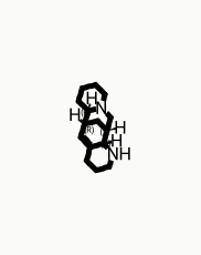 C1=C2CCCN[C@H]2[C@H]2C[C@H]1[C@H]1CCCCN1C2